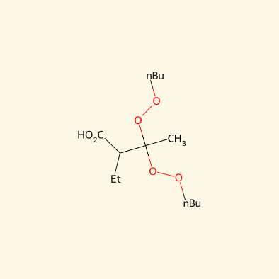 CCCCOOC(C)(OOCCCC)C(CC)C(=O)O